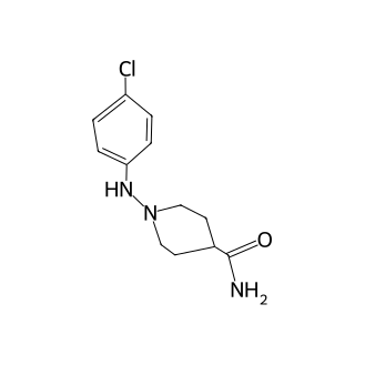 NC(=O)C1CCN(Nc2ccc(Cl)cc2)CC1